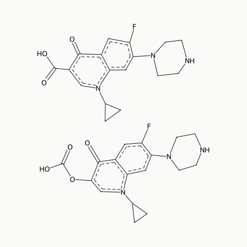 O=C(O)Oc1cn(C2CC2)c2cc(N3CCNCC3)c(F)cc2c1=O.O=C(O)c1cn(C2CC2)c2cc(N3CCNCC3)c(F)cc2c1=O